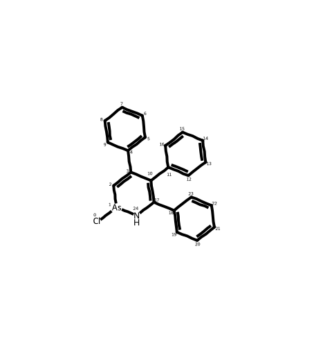 Cl[As]1C=C(c2ccccc2)C(c2ccccc2)=C(c2ccccc2)N1